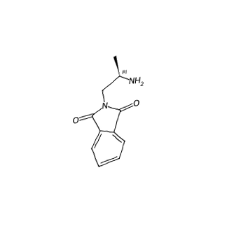 C[C@@H](N)CN1C(=O)c2ccccc2C1=O